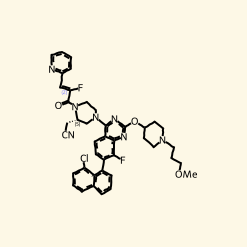 COCCCN1CCC(Oc2nc(N3CCN(C(=O)/C(F)=C/c4ccccn4)[C@@H](CC#N)C3)c3ccc(-c4cccc5cccc(Cl)c45)c(F)c3n2)CC1